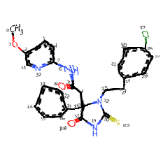 COc1ccc(NC(=O)CC2(c3ccccc3)C(=O)NC(=S)N2CCc2ccc(Cl)cc2)nc1